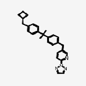 CC(C)(c1ccc(Cc2ccc(-n3nccn3)nc2)cc1)c1ccc(CC2CCC2)cc1